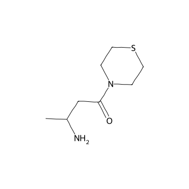 CC(N)CC(=O)N1CCSCC1